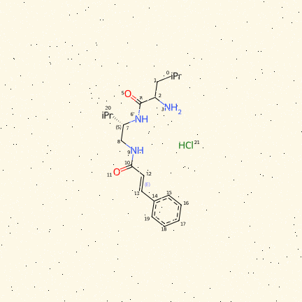 CC(C)CC(N)C(=O)N[C@H](CNC(=O)/C=C/c1ccccc1)C(C)C.Cl